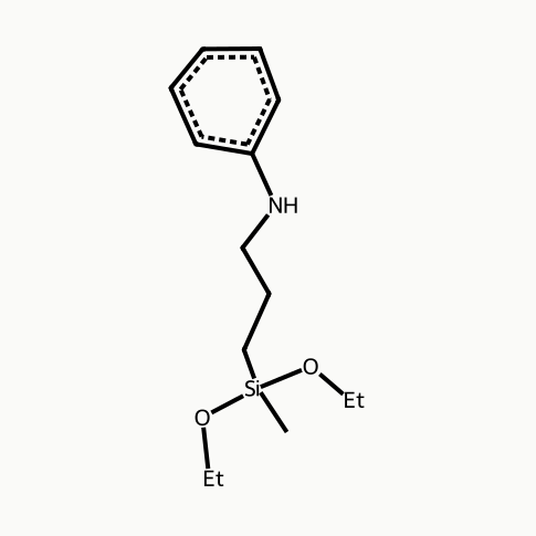 CCO[Si](C)(CCCNc1ccccc1)OCC